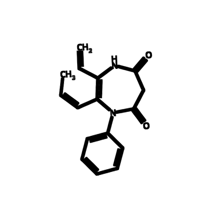 C=CC1=C(/C=C\C)N(c2ccccc2)C(=O)CC(=O)N1